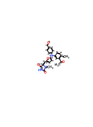 CC(=O)c1cc(N(c2ccc(C=O)cc2)c2ccc(/C=C3/C(=O)NC(=O)N3C)o2)ccc1C